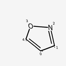 [c]1[c]no[c]1